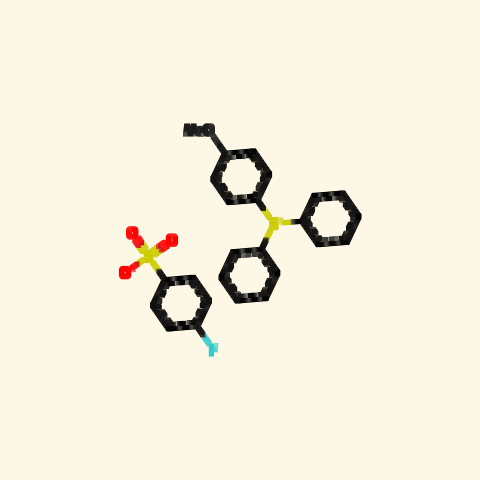 COc1ccc([S+](c2ccccc2)c2ccccc2)cc1.O=S(=O)([O-])c1ccc(F)cc1